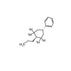 [2H]C1([2H])C[C@H](c2ccccc2)CC([2H])([2H])[C@H]1CCC